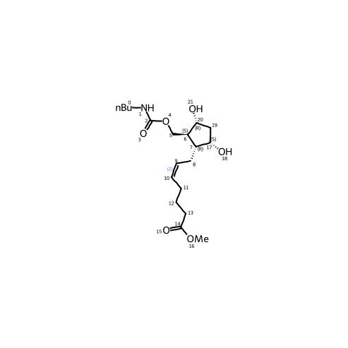 CCCCNC(=O)OC[C@@H]1[C@@H](C/C=C\CCCC(=O)OC)[C@@H](O)C[C@H]1O